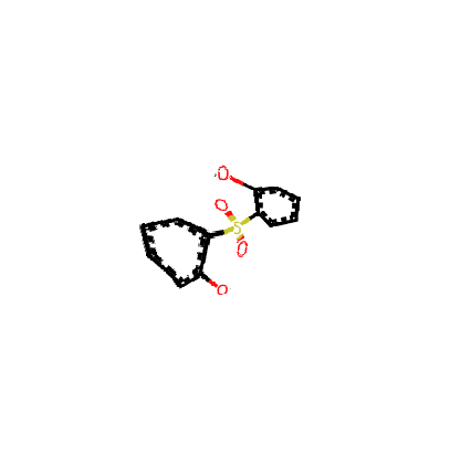 [O]c1ccccc1S(=O)(=O)c1ccccc1[O]